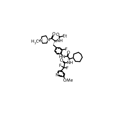 CCC(=O)N[C@H](Cc1ccc(NC(=O)[C@@H](NC(=O)C(F)(F)c2cncc(OC)c2)C2CCCCCC2)c(F)c1)C(=O)N1CCN(C)CC1